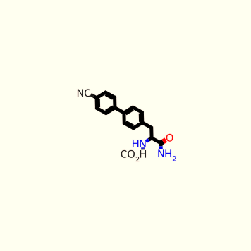 N#Cc1ccc(-c2ccc(CC(NC(=O)O)C(N)=O)cc2)cc1